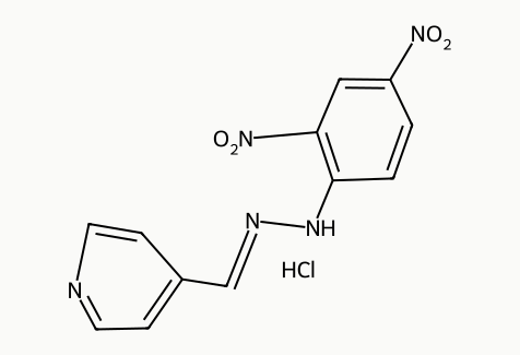 Cl.O=[N+]([O-])c1ccc(NN=Cc2ccncc2)c([N+](=O)[O-])c1